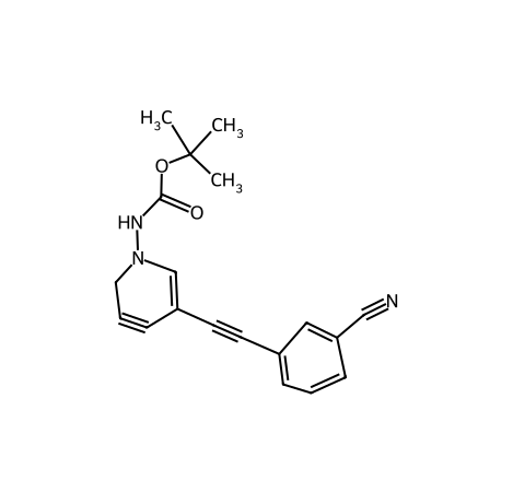 CC(C)(C)OC(=O)NN1C=C(C#Cc2cccc(C#N)c2)C#CC1